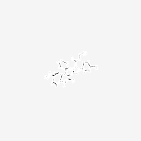 CC(=O)CCC(=O)N1N=C(c2c(-c3ccccc3)c3cc(C)ccc3[nH]c2=O)CC1c1ccc(Br)cc1